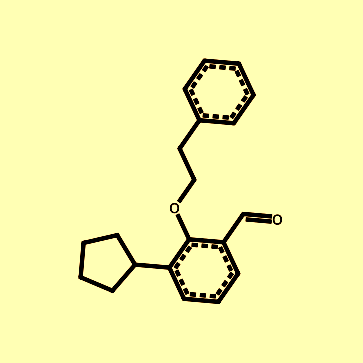 O=Cc1cccc(C2CCCC2)c1OCCc1ccccc1